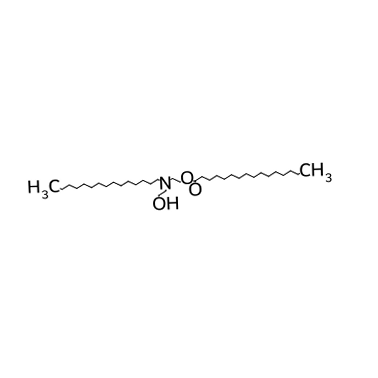 CCCCCCCCCCCCCCCC(=O)OCCN(CCO)CCCCCCCCCCCCCCC